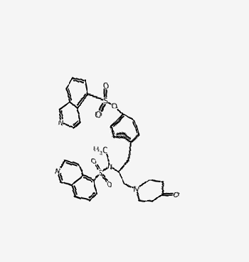 CN(C(Cc1ccc(OS(=O)(=O)c2cccc3cnccc23)cc1)CN1CCC(=O)CC1)S(=O)(=O)c1cccc2cnccc12